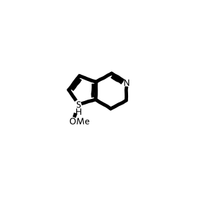 CO[SH]1C=CC2=C1CCN=C2